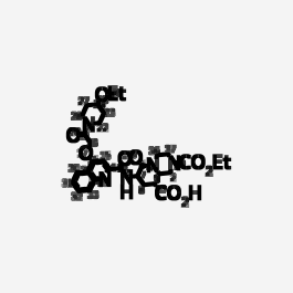 CCOC(=O)N1CCN(C(=O)C(CCC(=O)O)NC(=O)c2cc(OCC(=O)N3CCC(OCC)CC3)c3ccccc3n2)CC1